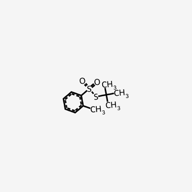 Cc1ccccc1S(=O)(=O)SC(C)(C)C